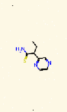 CCC(C(N)=S)c1cnccn1